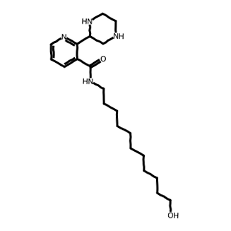 O=C(NCCCCCCCCCCCO)c1cccnc1C1CNCCN1